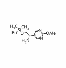 COc1ncc([C@H](N)CO[Si](C)(C)C(C)(C)C)cn1